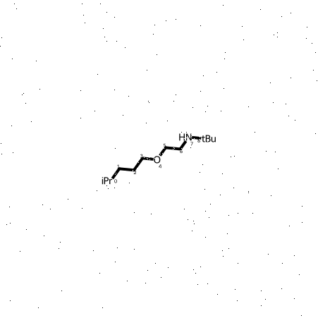 CC(C)CCCOCCNC(C)(C)C